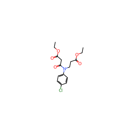 CCOC(=O)CCN(C(=O)CC(=O)OCC)c1ccc(Cl)cc1